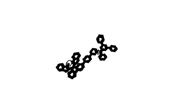 c1ccc(-c2cc(-c3ccccc3)cc(N(c3ccccc3)c3cccc(-c4ccc(-c5ccc6c(c5)C5(c7ccccc7-6)c6ccc7ccccc7c6Oc6c5ccc5ccccc65)cc4)c3)c2)cc1